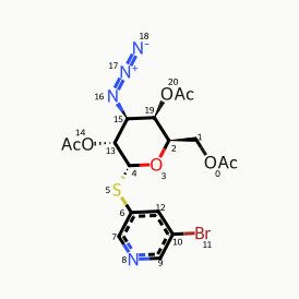 CC(=O)OC[C@H]1O[C@H](Sc2cncc(Br)c2)[C@H](OC(C)=O)[C@@H](N=[N+]=[N-])[C@H]1OC(C)=O